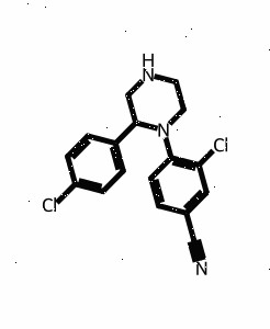 N#Cc1ccc(N2CCNCC2c2ccc(Cl)cc2)c(Cl)c1